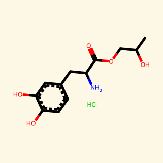 CC(O)COC(=O)C(N)Cc1ccc(O)c(O)c1.Cl